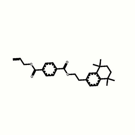 C=CCOC(=O)c1ccc(C(=O)OCCc2ccc3c(c2)C(C)(C)CCC3(C)C)cc1